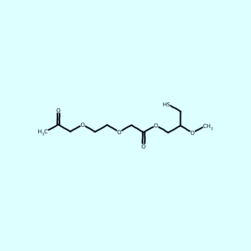 COC(CS)COC(=O)COCCOCC(C)=O